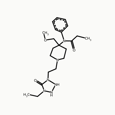 CCC(=O)N(c1ccccc1)C1(COC)CCN(CCN2NNN(CC)C2=O)CC1